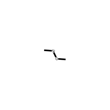 CO[Si]C